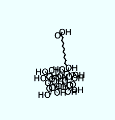 CCCCCCCCCCCC(=O)O.OC[C@H]1O[C@@H](O[C@H]2[C@H](O)[C@@H](O)[C@H](O)O[C@@H]2CO)[C@H](O)[C@@H](O)[C@H]1O.OC[C@H]1O[C@H](O[C@H]2O[C@H](CO)[C@@H](O)[C@H](O)[C@H]2O)[C@H](O)[C@@H](O)[C@@H]1O